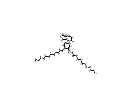 CCCCCCCCCCCCOc1ccccc1OCCCCCCCCCCCC.c1scc2c1OCCO2